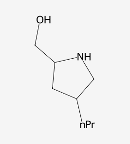 CCCC1CNC(CO)C1